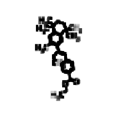 CCOC(=O)c1ccc(/C=C(\CC)c2cc3c(cc2C)C(C)(C)CCC3(C)C)cc1